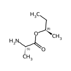 CC[C@@H](C)OC(=O)[C@H](C)N